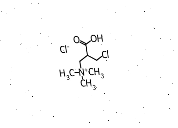 C[N+](C)(C)CC(CCl)C(=O)O.[Cl-]